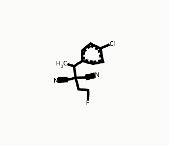 CC(c1ccc(Cl)cc1)C(C#N)(C#N)CCF